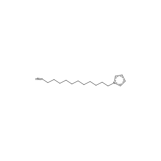 CCCCCCCCCCCCCCCCCCCCn1cccc1